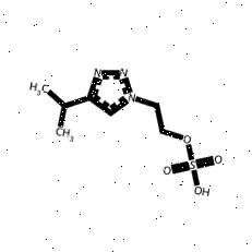 CC(C)c1cn(CCOS(=O)(=O)O)nn1